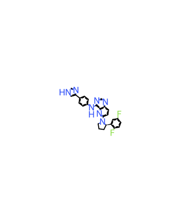 Fc1ccc(F)c([C@H]2CCCN2c2ccc3ncnc(Nc4ccc(-c5c[nH]cn5)cc4)c3n2)c1